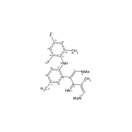 CN/C=C(/C)C(=N)/C(=C\NC)c1cc(C)ccc1Nc1c(C)cc(F)cc1F